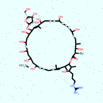 CCCCC1C(=O)OC(C(C)C(O)CCCNC(=N)N)C(C)/C=C(\C)CCCCC(O)CC(O)CC(O)CC(O)CC(O)C(O[C@H]2O[C@H](CO)[C@@H](O)[C@@H]2O)/C=C(\C)C(O)CCCC(O)CCCC(O)CCC(C)C1O.CS(=O)(=O)O